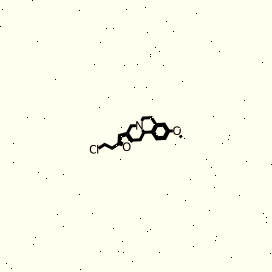 COc1ccc2c(c1)CCN1Cc3cc(CCCl)oc3CC21